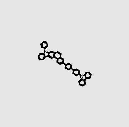 c1ccc(-n2c3ccccc3c3cc4c(ccc5cc(-c6ccc(-c7ccc(-n8c9ccccc9c9ccccc98)cc7)cc6)ccc54)cc32)cc1